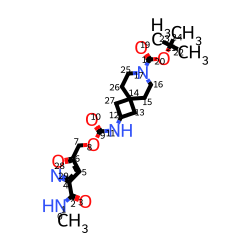 CNC(=O)c1cc(COC(=O)NC2CC3(CCN(C(=O)OC(C)(C)C)CC3)C2)on1